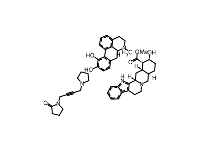 CN1CCc2cccc3c2[C@H]1Cc1ccc(O)c(O)c1-3.COC(=O)[C@@H]1[C@H]2C[C@H]3c4[nH]c5ccccc5c4CCN3C[C@@H]2CC[C@@H]1O.O=C1CCCN1CC#CCN1CCCC1